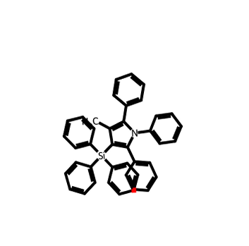 Cc1c([Si](c2ccccc2)(c2ccccc2)c2ccccc2)c(-c2ccccc2)n(-c2ccccc2)c1-c1ccccc1